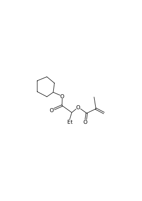 C=C(C)C(=O)OC(CC)C(=O)OC1CCCCC1